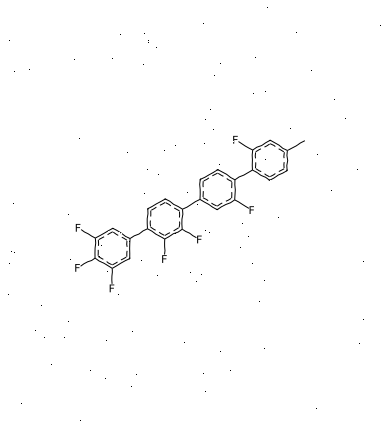 Cc1ccc(-c2ccc(-c3ccc(-c4cc(F)c(F)c(F)c4)c(F)c3F)cc2F)c(F)c1